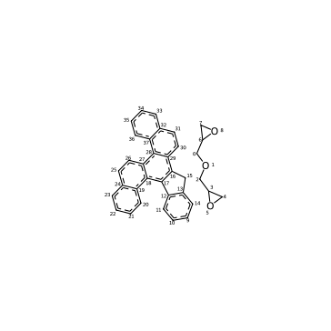 C(OCC1CO1)C1CO1.c1ccc2c(c1)Cc1c-2c2c3ccccc3ccc2c2c1ccc1ccccc12